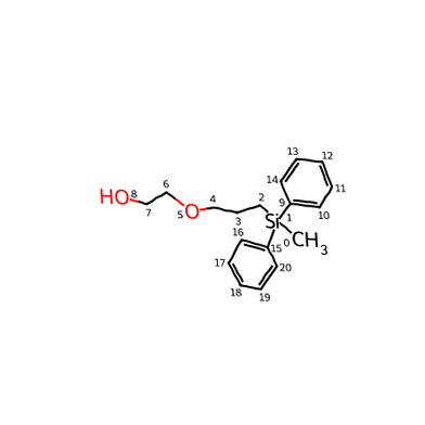 C[Si](CCCOCCO)(c1ccccc1)c1ccccc1